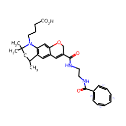 CC1CC(C)(C)N(CCCC(=O)O)c2cc3c(cc21)C=C(C(=O)NCCNC(=O)C1=C/C=C\C=C/C=C\1)CO3